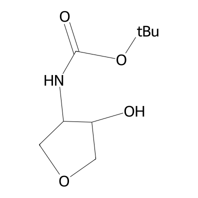 CC(C)(C)OC(=O)NC1COCC1O